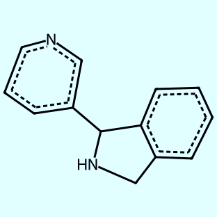 c1cncc(C2NCc3ccccc32)c1